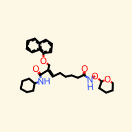 O=C(CCCC/C=C(\COc1cccc2ccccc12)C(=O)NC1CCCCC1)NOC1CCCCO1